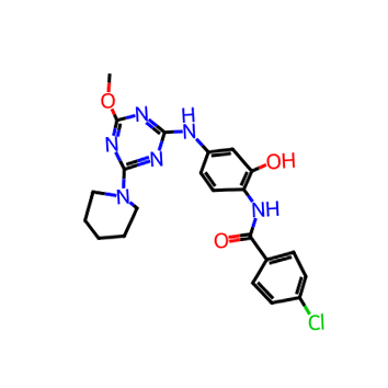 COc1nc(Nc2ccc(NC(=O)c3ccc(Cl)cc3)c(O)c2)nc(N2CCCCC2)n1